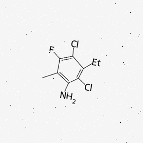 CCc1c(Cl)c(N)c(C)c(F)c1Cl